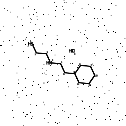 Cl.SCCNCCC1CCCCC1